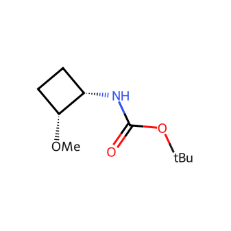 CO[C@@H]1CC[C@@H]1NC(=O)OC(C)(C)C